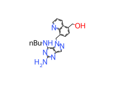 CCCCNc1nc(N)nc2cnn(Cc3ccc(CO)c4cccnc34)c12